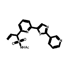 C=CC(c1cccc(-c2cnc(-c3cccnc3)s2)n1)S(=O)(=O)NC(C)=O